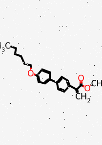 C=C(C(=O)OC)c1ccc(-c2ccc(OCCCCCC)cc2)cc1